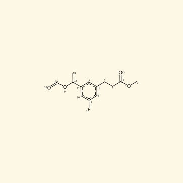 COC(=O)CCc1cc(F)cc(C(C)OC=O)c1